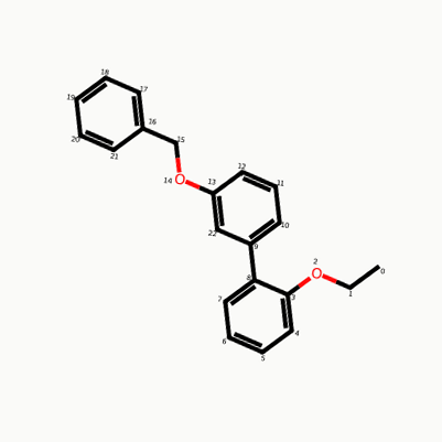 CCOc1ccccc1-c1cc[c]c(OCc2ccccc2)c1